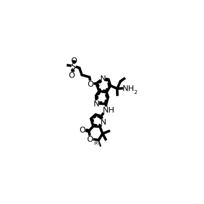 CCC(C)(N)c1cnc(OCCCS(C)(=O)=O)c2cnc(Nc3ccc4c(n3)C(C)(C)[C@@H](C)OC4=O)cc12